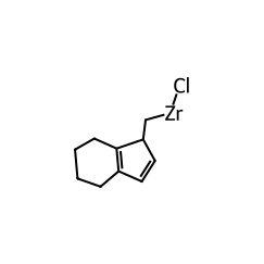 [Cl][Zr][CH2]C1C=CC2=C1CCCC2